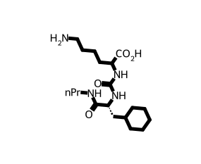 CCCNC(=O)[C@@H](CC1CCCCC1)NC(=O)NC(CCCCN)C(=O)O